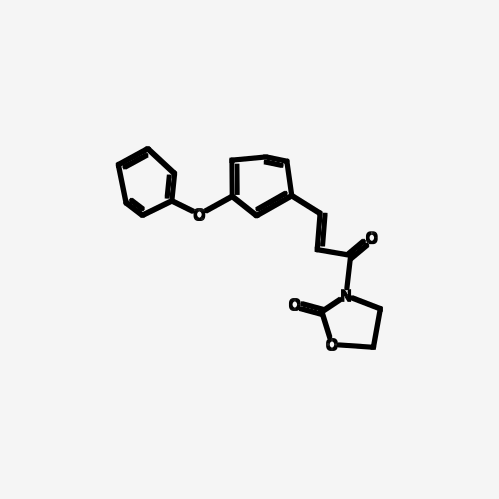 O=C(C=Cc1cccc(Oc2ccccc2)c1)N1CCOC1=O